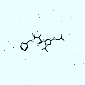 CC(C)CO[C@H]1C[C@@H](C(=O)C(C)C(=O)OCc2ccccc2)N(C(C)C)C1